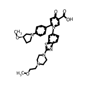 COCCN1CCN(c2nc3ccc(-n4cc(C(=O)O)c(=O)cc4-c4ccc(N5CC[C@@H](OC)C5)cc4)cc3s2)CC1